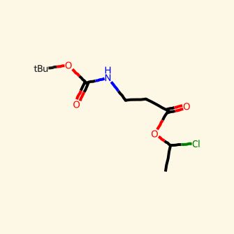 CC(Cl)OC(=O)CCNC(=O)OC(C)(C)C